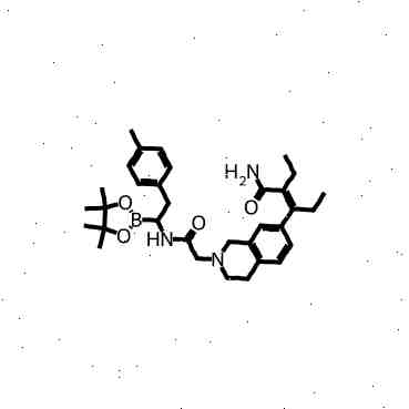 CCC(C(N)=O)=C(CC)c1ccc2c(c1)CN(CC(=O)NC(Cc1ccc(C)cc1)B1OC(C)(C)C(C)(C)O1)CC2